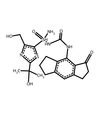 CC(C)(O)c1nc(CO)c([SH](N)(=O)NC(=O)Nc2c3c(cc4c2C(=O)CC4)CCC3)s1